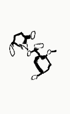 COc1ccc(Cl)cc1C(=O)ON1C(=O)CCC1=O